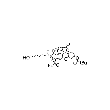 CCCC(C(=O)NCCCCCCO)c1cc2c(cc1OC(=O)C(C)(C)C)Oc1cc(OC(=O)C(C)(C)C)ccc1C21OC(=O)c2ccccc21